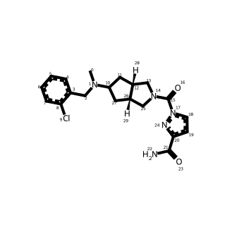 CN(Cc1ccccc1Cl)C1C[C@@H]2CN(C(=O)n3ccc(C(N)=O)n3)C[C@@H]2C1